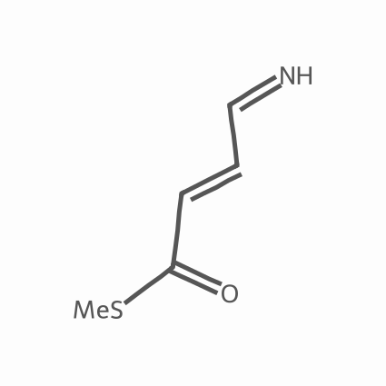 CSC(=O)/C=C/C=N